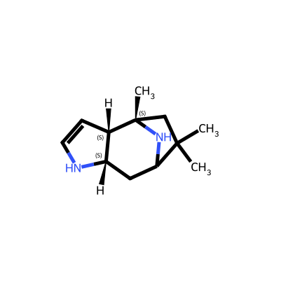 CC1(C)C[C@]2(C)NC1C[C@@H]1NC=C[C@@H]12